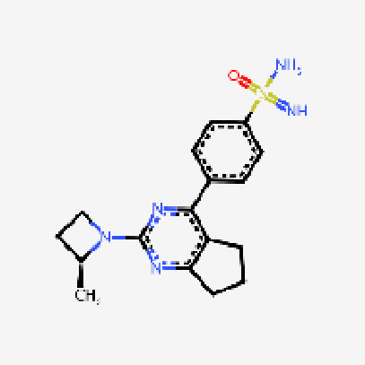 C[C@H]1CCN1c1nc2c(c(-c3ccc(S(=N)(N)=O)cc3)n1)CCC2